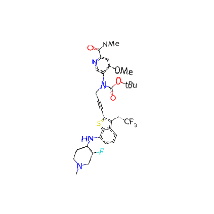 CNC(=O)c1cc(OC)c(N(CC#Cc2sc3c(NC4CCN(C)CC4F)cccc3c2CC(F)(F)F)C(=O)OC(C)(C)C)cn1